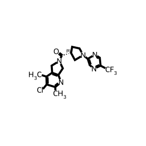 Cc1nc2c(c(C)c1Cl)CN(C(=O)[C@@H]1CCN(c3cnc(C(F)(F)F)cn3)C1)C2